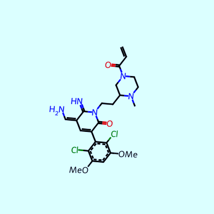 C=CC(=O)N1CCN(C)C(CCN2C(=N)/C(=C\N)C=C(c3c(Cl)c(OC)cc(OC)c3Cl)C2=O)C1